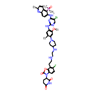 CCOc1cc(N2CCC(NCCNCCc3c(F)ccc4c3oc(=O)n4C3CCC(=O)NC3=O)CC2)c(CC)cc1Nc1ncc(Br)c(Nc2ccc3nc(CC)ccc3c2P(C)(C)=O)n1